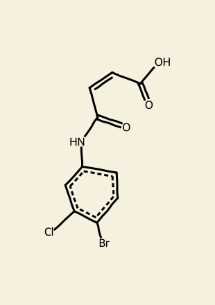 O=C(O)/C=C\C(=O)Nc1ccc(Br)c(Cl)c1